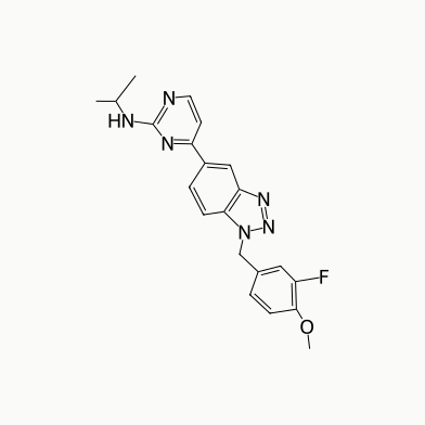 COc1ccc(Cn2nnc3cc(-c4ccnc(NC(C)C)n4)ccc32)cc1F